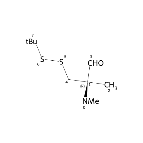 CN[C@](C)(C=O)CSSC(C)(C)C